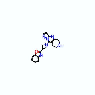 c1ccc2oc(C3CN(c4c5c(nc6ccnn46)CCNCC5)C3)nc2c1